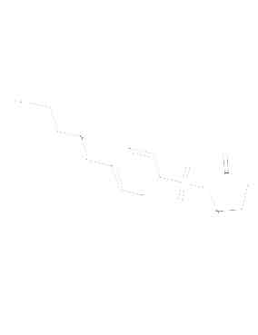 CSCCC(=O)Nc1ccc(S(=O)(=O)N2C(=O)CCC2=O)cc1